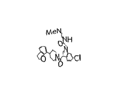 CNCCNC(=O)CN1CC(C(=O)N2CCC(c3cccc4c3OCC4)CC2)c2ccc(Cl)cc21